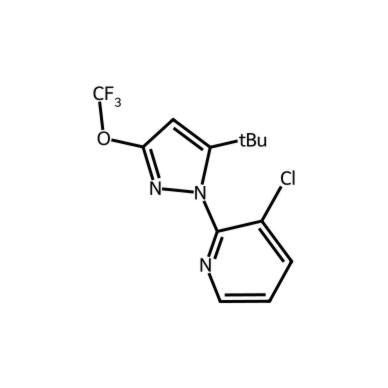 CC(C)(C)c1cc(OC(F)(F)F)nn1-c1ncccc1Cl